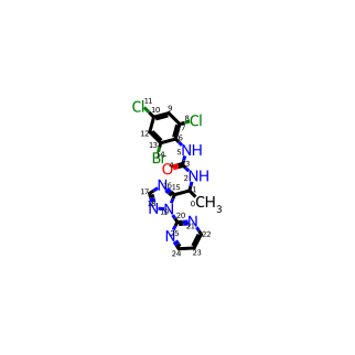 CC(NC(=O)Nc1c(Cl)cc(Cl)cc1Br)c1ncnn1-c1ncccn1